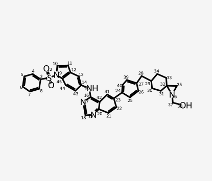 O=S(=O)(c1ccccc1)n1ccc2cc(Nc3ncnc4ccc(-c5ccc(CC6CCC7(CC6)CN7CO)cc5)cc34)ccc21